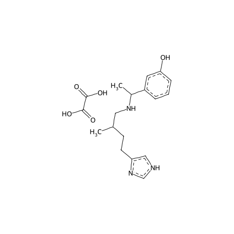 CC(CCc1c[nH]cn1)CNC(C)c1cccc(O)c1.O=C(O)C(=O)O